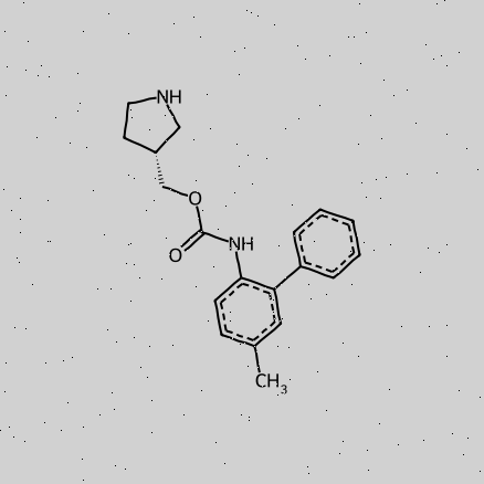 Cc1ccc(NC(=O)OC[C@@H]2CCNC2)c(-c2ccccc2)c1